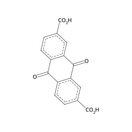 O=C(O)c1ccc2c(c1)C(=O)c1cc(C(=O)O)ccc1C2=O